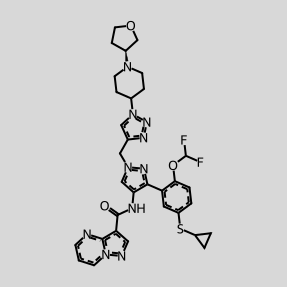 O=C(Nc1cn(Cc2cn(C3CCN([C@H]4CCOC4)CC3)nn2)nc1-c1cc(SC2CC2)ccc1OC(F)F)c1cnn2cccnc12